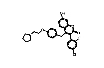 O=c1oc2cc(O)ccc2c(Cc2ccc(OCCN3CCCC3)cc2)c1-c1ccc(Cl)cc1Cl